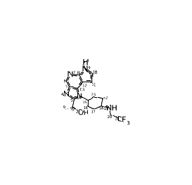 C[C@@H](O)c1nc2cnc3[nH]ccc3c2n1C1CCC(NCC(F)(F)F)CC1